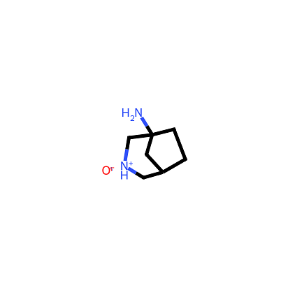 NC12CCC(C[NH+]([O-])C1)C2